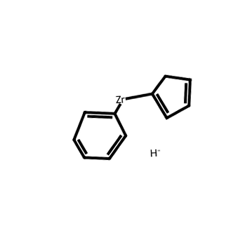 C1=CC[C]([Zr][c]2ccccc2)=C1.[H-]